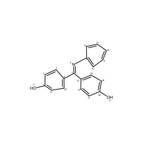 Oc1ccc(C(=Nc2ccccc2)c2ccc(O)cc2)cc1